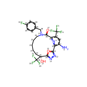 Nc1cc(C(F)(F)F)c2nc1-c1nnc(o1)[C@@](O)(C(F)(F)F)CCCCCN(Cc1ccc(F)cc1)C2=O